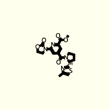 COC(=O)c1cc(C(=O)N2CCC[C@@H]2c2nc(C)cs2)cc(N2CCOC2=O)n1